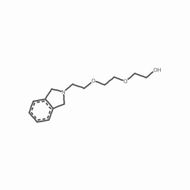 OCCOCCOCCN1Cc2ccccc2C1